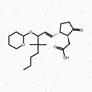 CCCCC(C)(C)C(C=C[C@@H]1CCC(=O)[C@H]1CC(=O)O)OC1CCCCO1